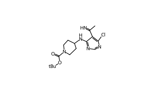 CC(=N)c1c(Cl)ncnc1NC1CCN(C(=O)OC(C)(C)C)CC1